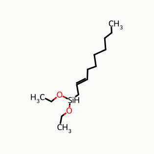 CCCCCCCC=CC[SiH](OCC)OCC